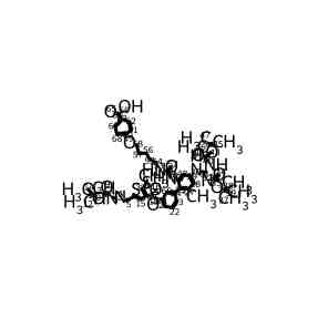 CSc1sc(C=NNC(=O)OC(C)(C)C)cc1S(=O)(=O)c1cccc(-c2c(C)cc(NC(=NC(=O)OC(C)(C)C)NC(=O)OC(C)(C)C)cc2NC(=O)NCCCCCOc2ccc(C(=O)O)cc2)c1